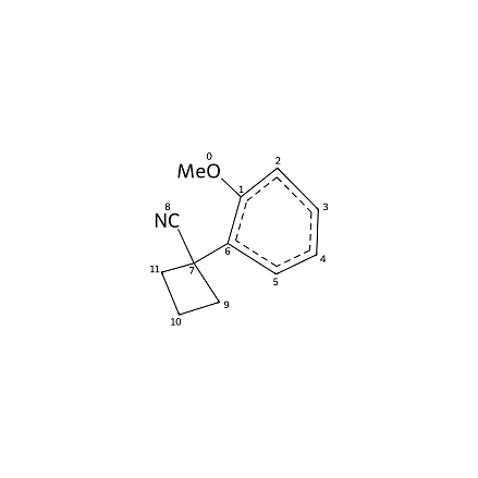 COc1ccccc1C1(C#N)CCC1